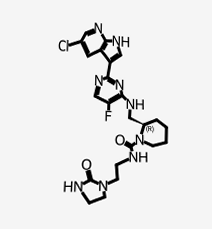 O=C1NCCN1CCNC(=O)N1CCCC[C@@H]1CNc1nc(-c2c[nH]c3ncc(Cl)cc23)ncc1F